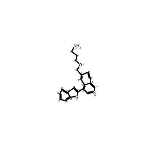 NCCCOCc1ccc2cncc(-c3cc4ccccc4o3)c2c1